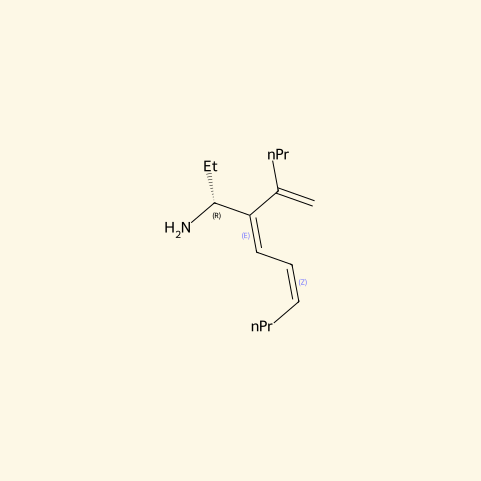 C=C(CCC)/C(=C\C=C/CCC)[C@H](N)CC